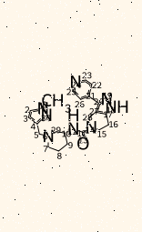 Cn1ccc(CN2CCC[C@@H](NC(=O)N3CCc4[nH]nc(-c5ccncc5)c4C3)C2)n1